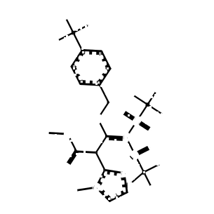 COC(=O)C(C(OCc1ccc(C(F)(F)F)cc1)=[N+](S(=O)(=O)C(F)(F)F)S(=O)(=O)C(F)(F)F)c1[nH]cc[n+]1C